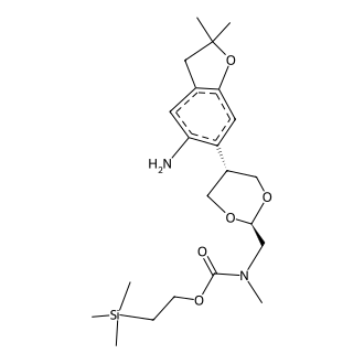 CN(C[C@H]1OC[C@H](c2cc3c(cc2N)CC(C)(C)O3)CO1)C(=O)OCC[Si](C)(C)C